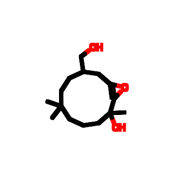 CC1(C)CCCC(C)(O)C2=C(CC(CO)CC1)O2